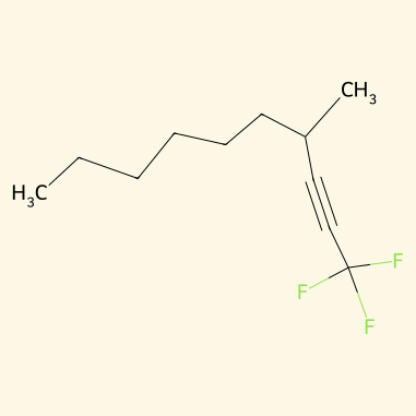 CCCCCCC(C)C#CC(F)(F)F